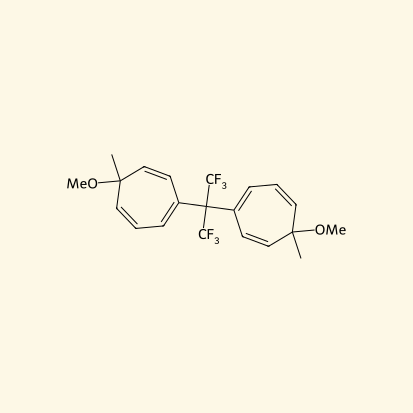 COC1(C)C=CC=C(C(C2=CC=CC(C)(OC)C=C2)(C(F)(F)F)C(F)(F)F)C=C1